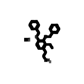 CCc1c(CCN)ccc(OCc2ccccc2)c1OCc1ccccc1.Cl